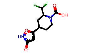 O=C(O)N1CCC(c2cc(=O)[nH]o2)CC1C(F)F